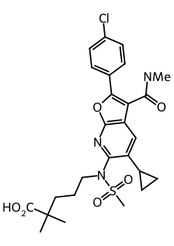 CNC(=O)c1c(-c2ccc(Cl)cc2)oc2nc(N(CCCC(C)(C)C(=O)O)S(C)(=O)=O)c(C3CC3)cc12